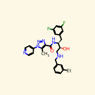 CCc1cccc(CNC[C@H](O)[C@H](Cc2cc(F)cc(F)c2)NC(=O)c2nnn(-c3ccncc3)c2C)c1